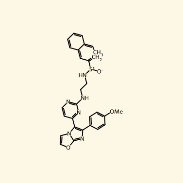 C=C(/C=c1/cccc/c1=C/C)[S+]([O-])NCCNc1nccc(-c2c(-c3ccc(OC)cc3)nc3occn23)n1